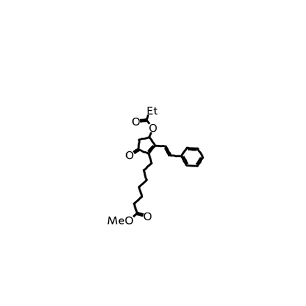 CCC(=O)OC1CC(=O)C(CCCCCCC(=O)OC)=C1C=Cc1ccccc1